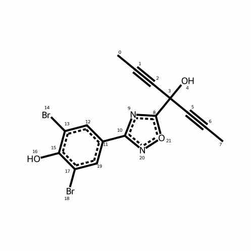 CC#CC(O)(C#CC)c1nc(-c2cc(Br)c(O)c(Br)c2)no1